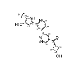 Cc1nc(-c2cc(-c3cncc(C(=O)N4CC(O)C4)c3)ccn2)[nH]c1C